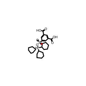 O=C(O)c1cc(C(=O)O)cc(S(=O)(=O)O[PH](C2CCCCC2)(C2CCCCC2)C2CCCCC2)c1